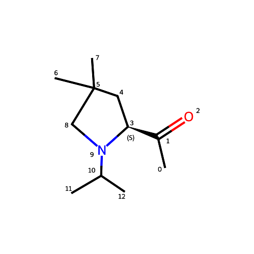 CC(=O)[C@@H]1CC(C)(C)CN1C(C)C